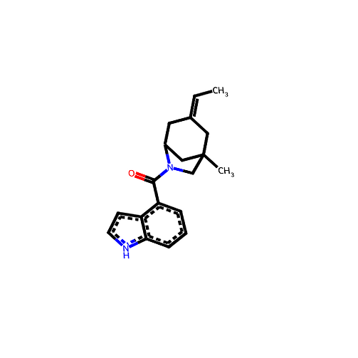 C/C=C1/CC2CC(C)(C1)CN2C(=O)c1cccc2[nH]ccc12